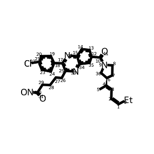 CC/C=C\C=C(/C)[C@@H]1CCN(C(=O)c2ccc3nc(-c4ccc(Cl)cc4)c(CCCCC(=O)N=O)nc3c2)C1